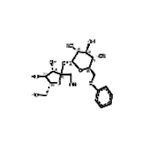 OC[C@H]1O[C@@](CO)(O[C@H]2O[C@H](COc3ccccc3)[C@@H](O)[C@H](O)[C@H]2O)[C@@H](O)[C@@H]1O